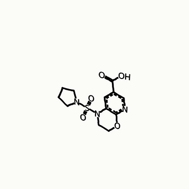 O=C(O)c1cnc2c(c1)N(S(=O)(=O)N1CCCC1)CCO2